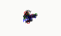 C#Cc1c(F)ccc2cc(OC(=O)C(C)C)cc(-c3ncc4c(N5CCCCC(NC(=O)C=C)C5)nc(OC[C@]5(C)C[C@@H](F)CN5C)nc4c3F)c12